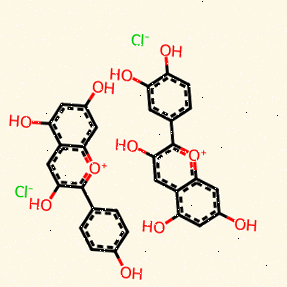 Oc1cc(O)c2cc(O)c(-c3ccc(O)c(O)c3)[o+]c2c1.Oc1ccc(-c2[o+]c3cc(O)cc(O)c3cc2O)cc1.[Cl-].[Cl-]